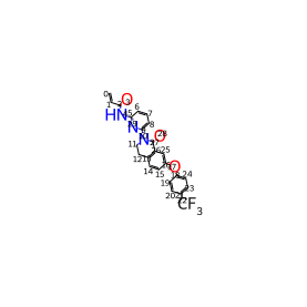 C=CC(=O)Nc1cccc(N2CCc3ccc(Oc4ccc(C(F)(F)F)cc4)cc3C2=O)n1